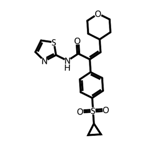 O=C(Nc1nccs1)C(=CC1CCOCC1)c1ccc(S(=O)(=O)C2CC2)cc1